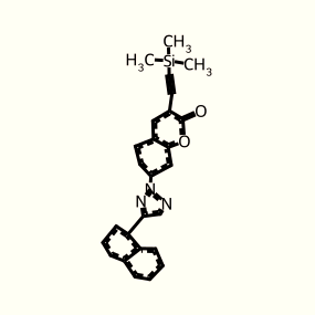 C[Si](C)(C)C#Cc1cc2ccc(-n3ncc(-c4cccc5ccccc45)n3)cc2oc1=O